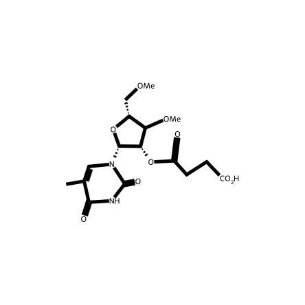 COC[C@H]1O[C@@H](n2cc(C)c(=O)[nH]c2=O)[C@@H](OC(=O)CCC(=O)O)C1OC